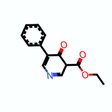 CCOC(=O)C1C=NC=C(c2ccccc2)C1=O